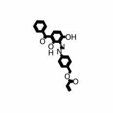 C=CC(=O)OCc1ccc(N=Nc2c(O)ccc(C(=O)c3ccccc3)c2O)cc1